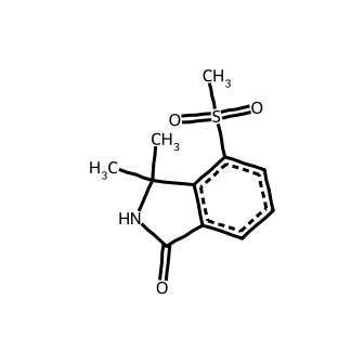 CC1(C)NC(=O)c2cccc(S(C)(=O)=O)c21